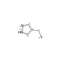 [S]Cc1cn[nH]c1